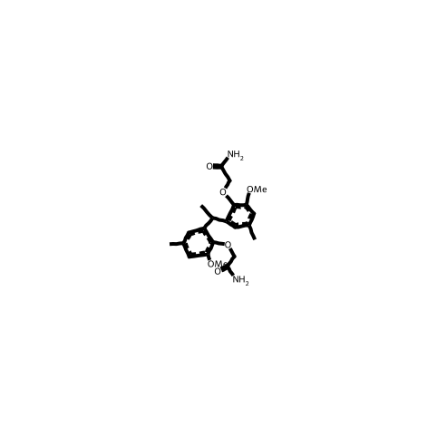 COc1cc(C)cc(C(C)c2cc(C)cc(OC)c2OCC(N)=O)c1OCC(N)=O